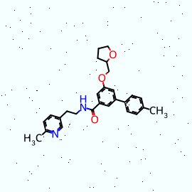 Cc1ccc(-c2cc(OCC3CCCO3)cc(C(=O)NCCc3ccc(C)nc3)c2)cc1